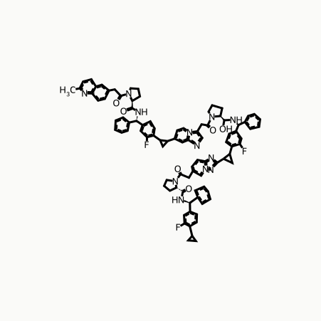 Cc1ccc2cc(CC(=O)N3CCC[C@H]3C(=O)N[C@@H](c3ccccc3)c3ccc(C4CC4c4ccn5c(CC(=O)N6CCC[C@H]6C(O)N[C@@H](c6ccccc6)c6ccc(C7CC7c7nc8ccc(CC(=O)N9CCC[C@H]9C(=O)N[C@@H](c9ccccc9)c9ccc(C%10CC%10)c(F)c9)cn8n7)c(F)c6)cnc5c4)c(F)c3)ccc2n1